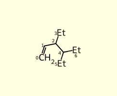 C=CC(CC)C(CC)CC